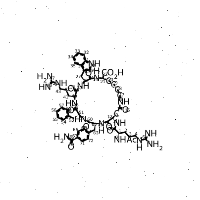 CC(=O)N[C@@H](CCCNC(=N)N)C(=O)N[C@H]1CC(=O)NCCCCC(C(=O)O)NC(=O)[C@H](Cc2c[nH]c3ccccc23)NC(=O)[C@H](CCCNC(=N)N)NC(=O)[C@@H](Cc2ccccc2)NC(=O)[C@H](Cc2ccc(C(N)=O)cc2)NC1=O